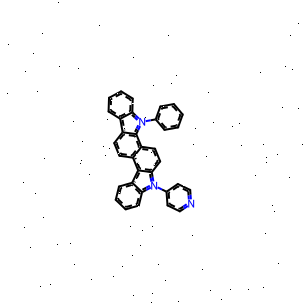 c1ccc(-n2c3ccccc3c3ccc4c(ccc5c4c4ccccc4n5-c4ccncc4)c32)cc1